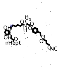 CCCCCCCC(=O)CC[C@@H]1[C@@H](C/C=C\CCCC(=O)NC(C)C(=O)Oc2ccc(CCOC(=O)CCCO[N+](=O)[O-])cc2)[C@@H](O)C[C@H]1O